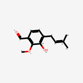 COc1c(C=O)ccc(CC=C(C)C)c1O